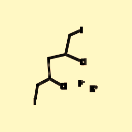 ClC(CI)CC(Cl)CI.[F-].[K+]